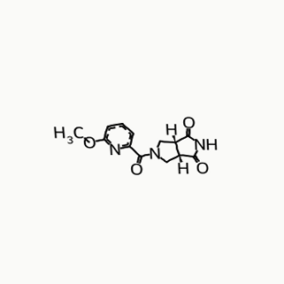 COc1cccc(C(=O)N2C[C@@H]3C(=O)NC(=O)[C@@H]3C2)n1